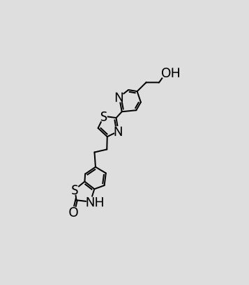 O=c1[nH]c2ccc(CCc3csc(-c4ccc(CCO)cn4)n3)cc2s1